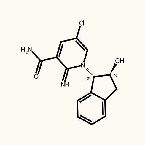 N=c1c(C(N)=O)cc(Cl)cn1[C@H]1c2ccccc2C[C@@H]1O